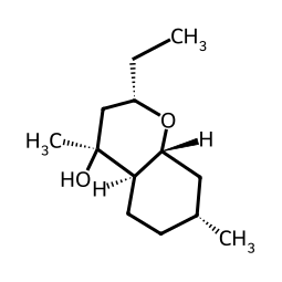 CC[C@H]1C[C@](C)(O)[C@@H]2CC[C@@H](C)C[C@H]2O1